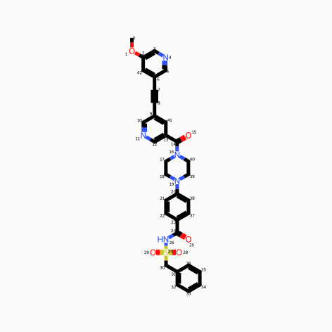 COc1cncc(C#Cc2cncc(C(=O)N3CCN(c4ccc(C(=O)NS(=O)(=O)Cc5ccccc5)cc4)CC3)c2)c1